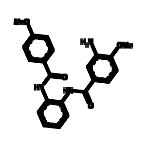 COc1ccc(C(=O)Nc2ccccc2NC(=O)c2ccc(OC)c(N)c2)cc1